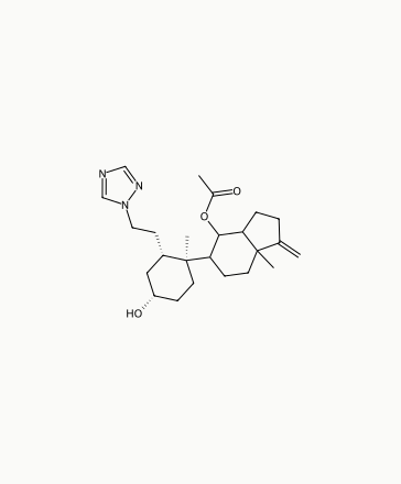 C=C1CCC2C(OC(C)=O)C([C@@]3(C)CC[C@H](O)C[C@@H]3CCn3cncn3)CCC12C